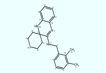 Cc1cccc(CNC2=Nc3ccccc3NC23CCSCC3)c1C